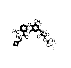 Cc1cc(NC(=O)C(=O)OC(C)C)cc(Cl)c1Oc1ccc(O)c(C(=O)NCC2CCC2)c1